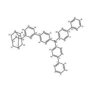 c1ccc(-c2ccc(N(c3ccc(-c4ccccc4)cc3)c3ccc(-c4cccc(C56CC7CC(CC(C7)C5)C6)c4)cc3)cc2)cc1